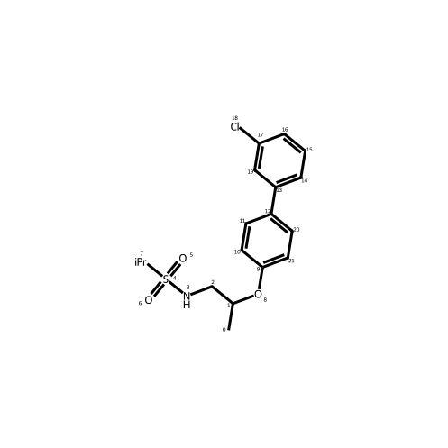 CC(CNS(=O)(=O)C(C)C)Oc1ccc(-c2cccc(Cl)c2)cc1